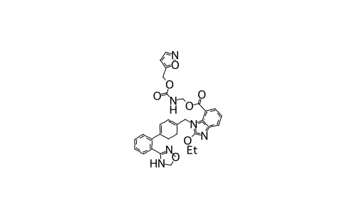 CCOc1nc2cccc(C(=O)OCNC(=O)OCc3ccno3)c2n1CC1=CC=C(c2ccccc2C2=NOCN2)CC1